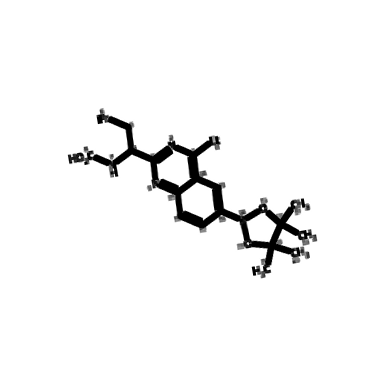 CCc1nc(C(CC(C)C)NC(=O)O)nc2ccc(B3OC(C)(C)C(C)(C)O3)cc12